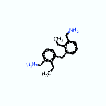 CCc1c(CN)cccc1Cc1cccc(CN)c1CC